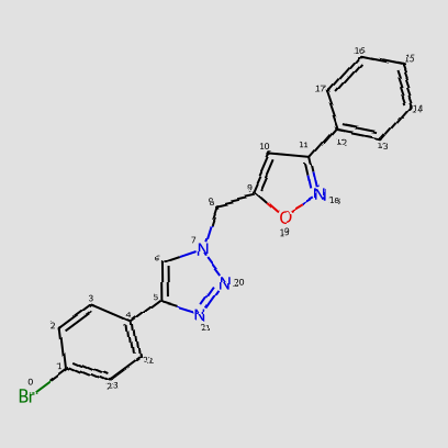 Brc1ccc(-c2cn(Cc3cc(-c4ccccc4)no3)nn2)cc1